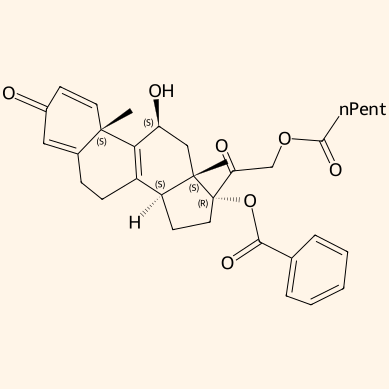 CCCCCC(=O)OCC(=O)[C@@]1(OC(=O)c2ccccc2)CC[C@H]2C3=C([C@@H](O)C[C@@]21C)[C@@]1(C)C=CC(=O)C=C1CC3